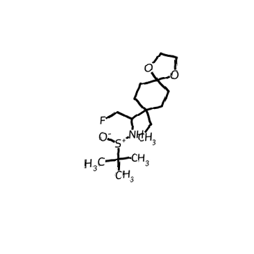 CCC1(C(CF)N[S+]([O-])C(C)(C)C)CCC2(CC1)OCCO2